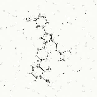 CN(C)CCn1cc(-c2ccnc(C(F)(F)F)c2)nc1C1CCN(c2ncnc(N)c2Cl)CC1